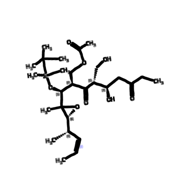 C/C=C\[C@H](C)[C@H]1OC1(C)[C@@H](O[Si](C)(C)C(C)(C)C)[C@@H](COC(C)=O)C(=O)[C@H](CO)[C@H](O)CC(=O)CC